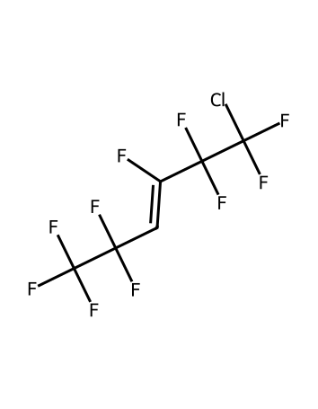 FC(=CC(F)(F)C(F)(F)F)C(F)(F)C(F)(F)Cl